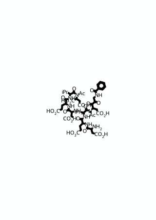 CC(=O)N(C(=O)C(NC(=O)C(CCC(=O)O)NC(=O)C(N)CC(=O)O)C(C)C)C(CC(=O)O)C(=O)C(=O)CNC(=O)c1ccccc1.CC(=O)N(C(=O)C(NC(=O)C(CCC(=O)O)NC(=O)C(N)CC(=O)O)C(C)C)C(CC(=O)O)C(=O)O